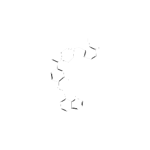 O=C(c1ccc(NSc2cccc3cccnc23)c(F)c1)N1CCN(Cc2cccc(F)c2F)CC1